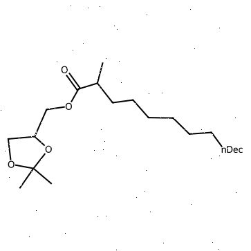 CCCCCCCCCCCCCCCCC(C)C(=O)OCC1COC(C)(C)O1